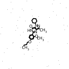 CCCCOc1ccc(-c2nc3c(C)nn(C4CCCCC4)c3c(=O)[nH]2)c(OC)c1